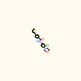 O=C(Nc1ccc(N2CCOCC2)c(Cl)c1)c1ccc(-c2cccs2)cc1